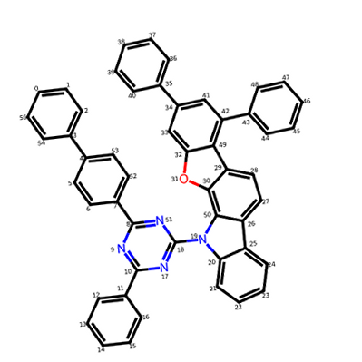 c1ccc(-c2ccc(-c3nc(-c4ccccc4)nc(-n4c5ccccc5c5ccc6c(oc7cc(-c8ccccc8)cc(-c8ccccc8)c76)c54)n3)cc2)cc1